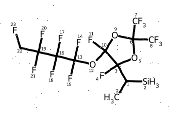 CC([SiH3])C1(F)OC(C(F)(F)F)(C(F)(F)F)OC1(F)OC(F)(F)C(F)(F)C(F)(F)CF